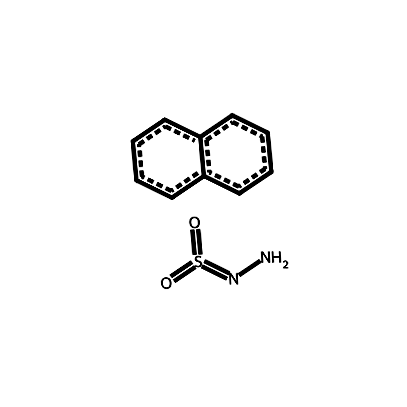 NN=S(=O)=O.c1ccc2ccccc2c1